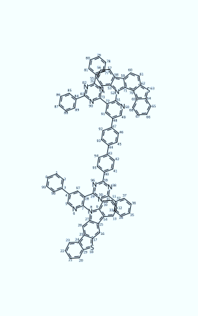 c1ccc(-c2cnc(-n3c4ccccc4c4cc5sc6ccccc6c5cc43)c(-c3nc(-c4ccccc4)nc(-c4ccc(-c5ccc(-c6cnc(-n7c8ccccc8c8ccc9sc%10ccccc%10c9c87)c(-c7nc(-c8ccccc8)nc(-c8ccccc8)n7)c6)cc5)cc4)n3)c2)cc1